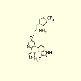 Cc1n[nH]c2ccc(-c3cc(OCC[C@@H](N)Cc4ccc(C(F)(F)F)cc4)cnc3-c3ccoc3)cc12